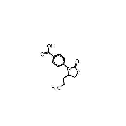 CCCC1COC(=O)N1c1ccc(C(=O)O)cc1